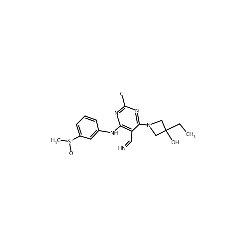 CCC1(O)CN(c2nc(Cl)nc(Nc3cccc([S+](C)[O-])c3)c2C=N)C1